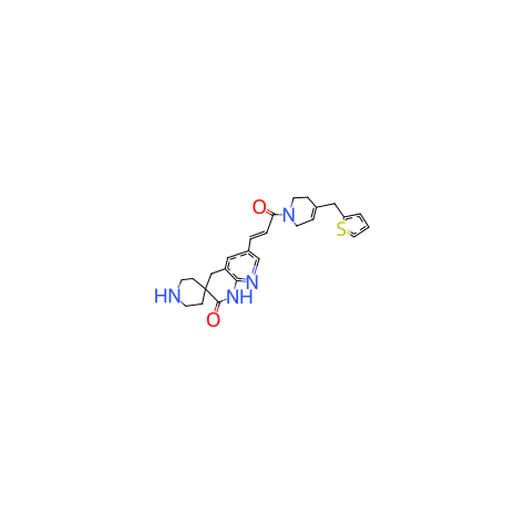 O=C(C=Cc1cnc2c(c1)CC1(CCNCC1)C(=O)N2)N1CC=C(Cc2cccs2)CC1